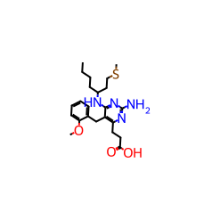 CCCCC(CCSC)Nc1nc(N)nc(CCC(=O)O)c1Cc1ccccc1OC